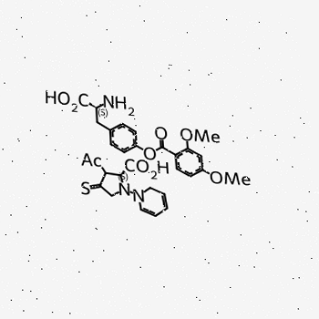 CC(=O)C1C(=S)CN(N2C=CC=CC2)[C@@H]1C(=O)O.COc1ccc(C(=O)Oc2ccc(C[C@H](N)C(=O)O)cc2)c(OC)c1